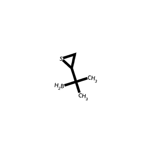 BC(C)(C)C1CS1